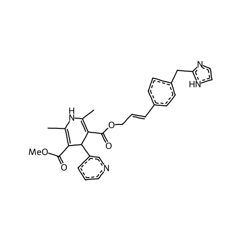 COC(=O)C1=C(C)NC(C)=C(C(=O)OCC=Cc2ccc(Cc3ncc[nH]3)cc2)C1c1cccnc1